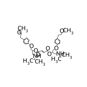 COCCc1ccc(OCC(CNC(C)C)OC(=O)/C=C/C(=O)OC(CNC(C)C)COc2ccc(CCOC)cc2)cc1